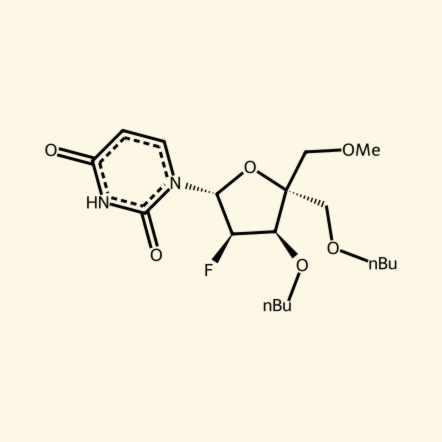 CCCCOC[C@@]1(COC)O[C@@H](n2ccc(=O)[nH]c2=O)[C@H](F)[C@@H]1OCCCC